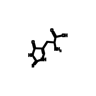 NC(Cc1c[nH]c(=S)[nH]c1=O)C(=O)O